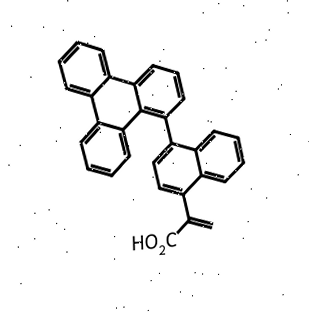 C=C(C(=O)O)c1ccc(-c2cccc3c4ccccc4c4ccccc4c23)c2ccccc12